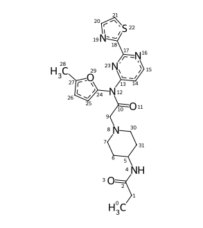 CCC(=O)NC1CCN(CC(=O)N(c2ccnc(-c3nccs3)n2)c2ccc(C)o2)CC1